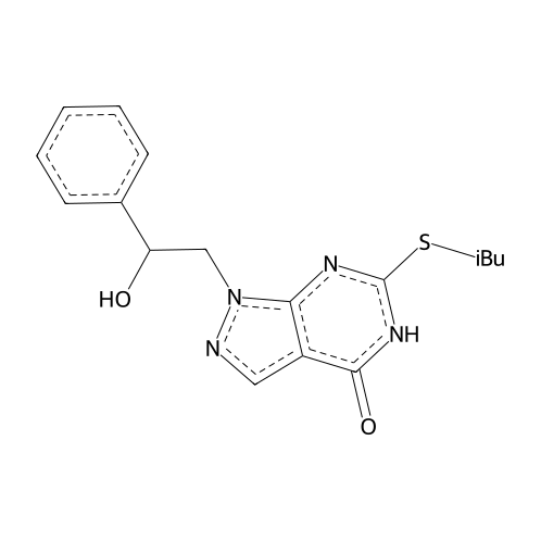 CCC(C)Sc1nc2c(cnn2CC(O)c2ccccc2)c(=O)[nH]1